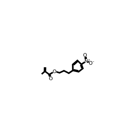 C=C(C)C(=O)OCCCc1ccc([N+](=O)[O-])cc1